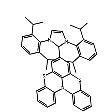 CC(C)c1cccc(C(C)C)c1N1C=CN(c2c(C(C)C)cccc2C(C)C)C1c1cc2c3c(c1)Sc1ccccc1B3c1ccccc1S2